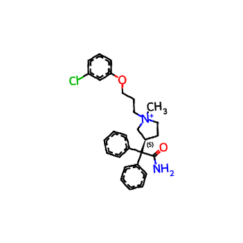 C[N+]1(CCCOc2cccc(Cl)c2)CC[C@@H](C(C(N)=O)(c2ccccc2)c2ccccc2)C1